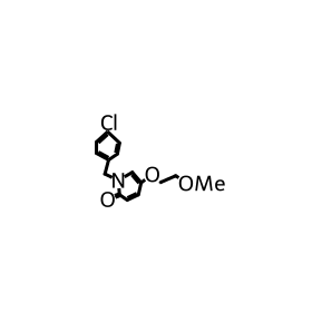 COCCOc1ccc(=O)n(Cc2ccc(Cl)cc2)c1